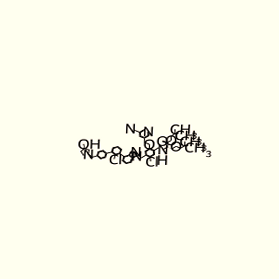 CC(C)COC[C@H](NCc1cc(Cl)c(Cn2ncc3c(-c4cccc(-c5ccc(CN6CC[C@@H](O)C6)cc5)c4Cl)cccc32)cc1OCc1cncc(C#N)c1)C(=O)OCC(C)C